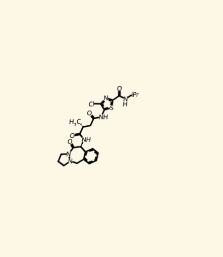 CC(C)NC(=O)c1nc(Cl)c(NC(=O)C[C@@H](C)C(=O)N[C@@H]2C(=O)N3CCCN3Cc3ccccc32)s1